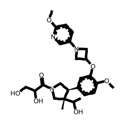 COc1ccc(N2CC(Oc3cc([C@@H]4CN(C(=O)C(O)CO)C[C@@]4(C)C(C)O)ccc3OC)C2)cn1